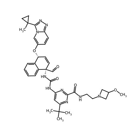 COC1CN(CCNC(=O)c2nc(NC(=O)N[C@@]3(C=O)C=C[C@@H](Oc4ccc5nnc(C6(C)CC6)n5c4)c4ccccc43)cc(C(C)(C)C)n2)C1